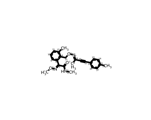 CNC(=O)/C(=N/OC)c1cccc(C)c1CO/N=C(\C)C#Cc1ccc(C)cc1